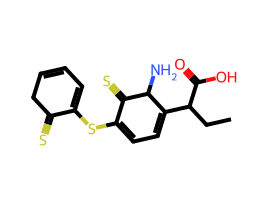 CCC(C(=O)O)C1=CC=C(SC2=CC=CCC2=S)C(=S)C1N